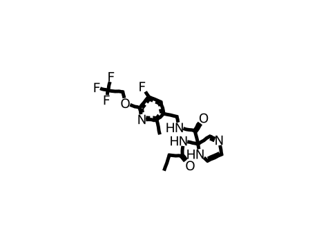 CCC(=O)NC1(C(=O)NCc2cc(F)c(OCC(F)(F)F)nc2C)C=NC=CN1